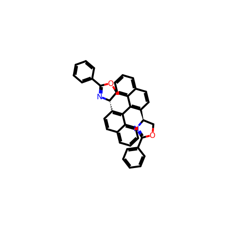 c1ccc(C2=N[C@@H](c3ccc4ccccc4c3-c3c([C@H]4COC(c5ccccc5)=N4)ccc4ccccc34)CO2)cc1